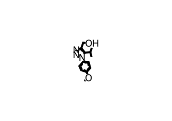 COc1ccc(-n2nnc(CO)c2C(C)C)cc1